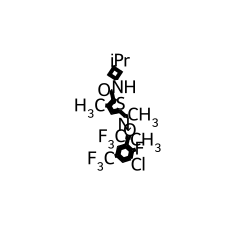 C/C(=N\OC(C)(c1cc(C(F)(F)F)cc(Cl)c1F)C(F)(F)F)c1cc(C)c(C(=O)NC2CC(C(C)C)C2)s1